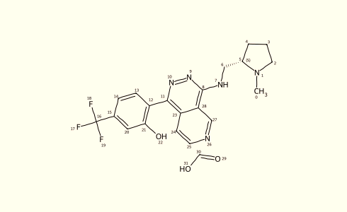 CN1CCC[C@H]1CNc1nnc(-c2ccc(C(F)(F)F)cc2O)c2ccncc12.O=CO